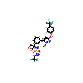 CCn1nc(Oc2ccc(C(F)(F)F)cc2)cc1-c1cccc(C2(NS(=O)(=O)NCC(F)(F)F)COC2)c1